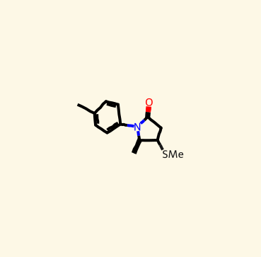 C=C1C(SC)CC(=O)N1c1ccc(C)cc1